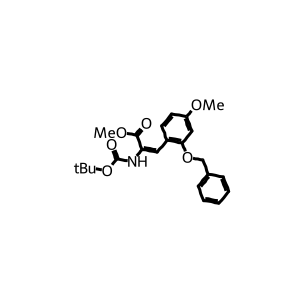 COC(=O)/C(=C\c1ccc(OC)cc1OCc1ccccc1)NC(=O)OC(C)(C)C